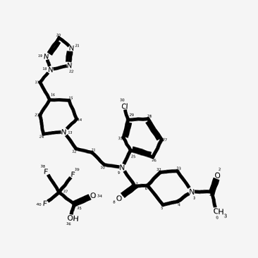 CC(=O)N1CCC(C(=O)N(CCCN2CCC(Cn3ncnn3)CC2)c2cccc(Cl)c2)CC1.O=C(O)C(F)(F)F